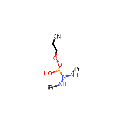 CC(C)NN(NC(C)C)P(O)OOCCC#N